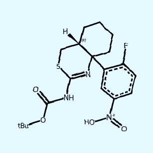 CC(C)(C)OC(=O)NC1=NC2(c3cc([N+](=O)O)ccc3F)CCCC[C@H]2CS1